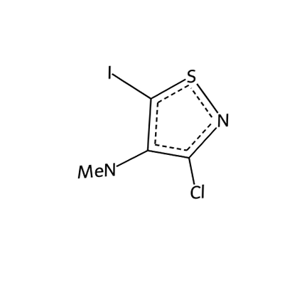 CNc1c(Cl)nsc1I